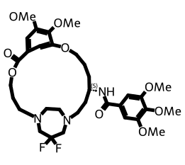 COc1cc(C(=O)N[C@H]2CCCOc3cc(cc(OC)c3OC)C(=O)OCCCN3CCN(CC2)CC(F)(F)C3)cc(OC)c1OC